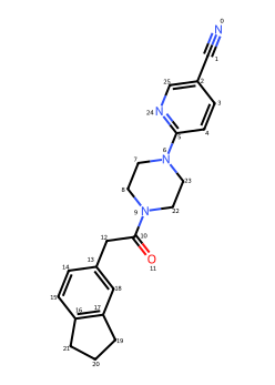 N#Cc1ccc(N2CCN(C(=O)Cc3ccc4c(c3)CCC4)CC2)nc1